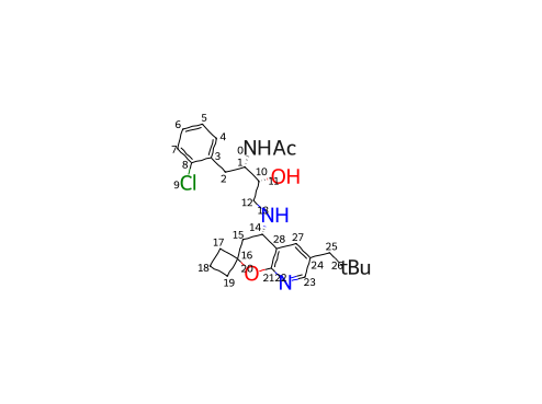 CC(=O)N[C@@H](Cc1ccccc1Cl)[C@H](O)CN[C@H]1CC2(CCC2)Oc2ncc(CC(C)(C)C)cc21